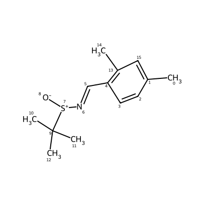 Cc1ccc(C=N[S+]([O-])C(C)(C)C)c(C)c1